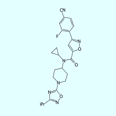 CC(C)c1noc(N2CCC(N(C(=O)c3cc(-c4ccc(C#N)cc4F)no3)C3CC3)CC2)n1